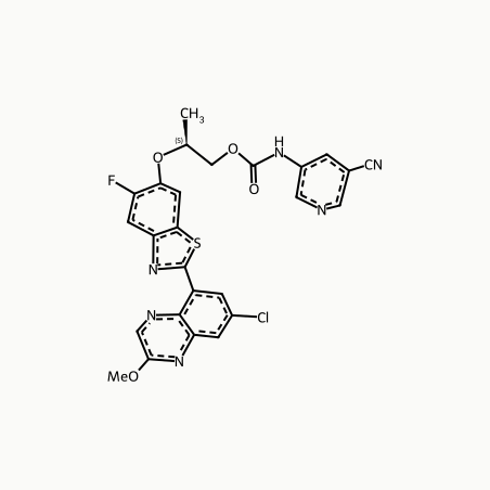 COc1cnc2c(-c3nc4cc(F)c(O[C@@H](C)COC(=O)Nc5cncc(C#N)c5)cc4s3)cc(Cl)cc2n1